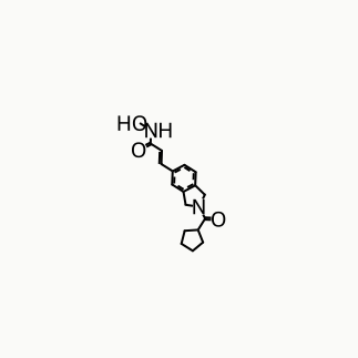 O=C(C=Cc1ccc2c(c1)CN(C(=O)C1CCCC1)C2)NO